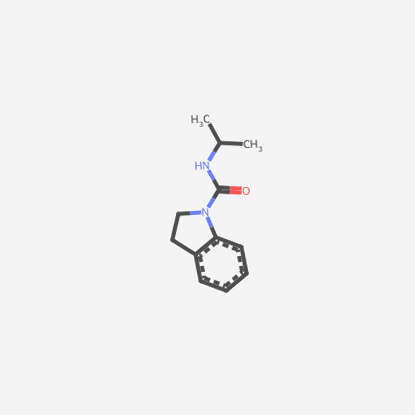 CC(C)NC(=O)N1CCc2ccccc21